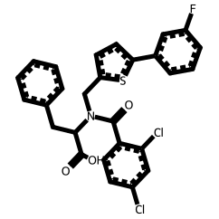 O=C(O)C(Cc1ccccc1)N(Cc1ccc(-c2cccc(F)c2)s1)C(=O)c1ccc(Cl)cc1Cl